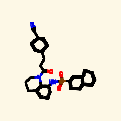 N#Cc1ccc(CCC(=O)N2CCCc3cccc(NS(=O)(=O)c4ccc5ccccc5c4)c32)cc1